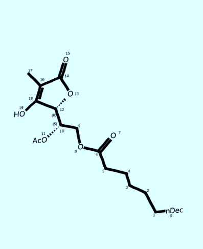 CCCCCCCCCCCCCCCC(=O)OC[C@H](OC(C)=O)[C@H]1OC(=O)C(C)=C1O